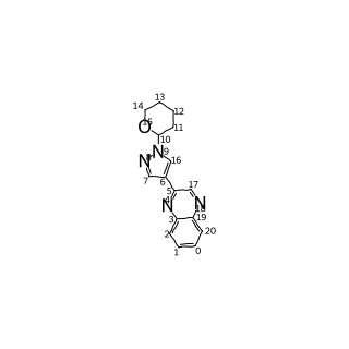 c1ccc2nc(-c3cnn(C4CCCCO4)c3)cnc2c1